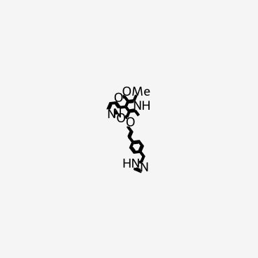 COC(=O)C1=C(C)NC(C)=C(C(=O)OCC=Cc2ccc(Cc3ncc[nH]3)cc2)C1c1cccnn1